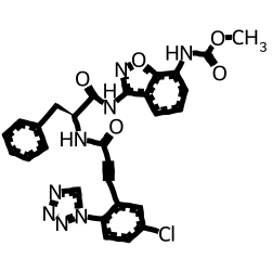 COC(=O)Nc1cccc2c(NC(=O)[C@H](Cc3ccccc3)NC(=O)C#Cc3cc(Cl)ccc3-n3cnnn3)noc12